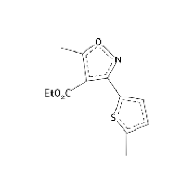 CCOC(=O)c1c(-c2ccc(C)s2)noc1C